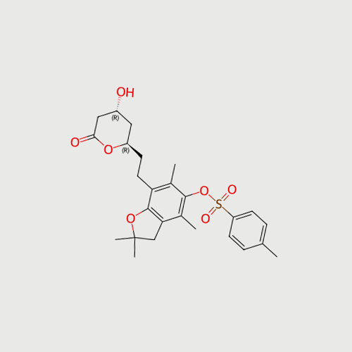 Cc1ccc(S(=O)(=O)Oc2c(C)c(CC[C@@H]3C[C@@H](O)CC(=O)O3)c3c(c2C)CC(C)(C)O3)cc1